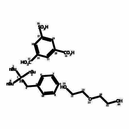 CCCC[PH](CCCC)(CCCC)Cc1ccccc1.O=C(O)c1cc(C(=O)O)cc(S(=O)(=O)O)c1.OCCOCCO